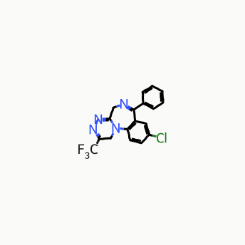 FC(F)(F)C1=NN=C2CN=C(c3ccccc3)c3cc(Cl)ccc3N2C1